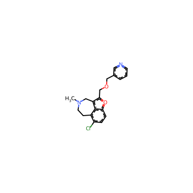 CN1CCc2c(Cl)ccc3oc(COCc4cccnc4)c(c23)C1